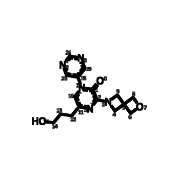 O=c1c(N2CC3(COC3)C2)nc(CCCO)cn1-c1cncnc1